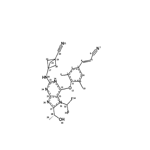 Cc1cc(/C=C/C#N)cc(C)c1Oc1nc(NC23CC(C#N)(C2)C3)nc2nc([C@@H](C)O)n(C(F)F)c12